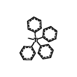 [CH3][Ti]([c]1ccccc1)([c]1ccccc1)([c]1ccccc1)[c]1ccccc1